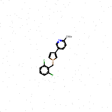 COc1ccc(C2=C[SH](Cc3c(F)cccc3F)C=C2)cn1